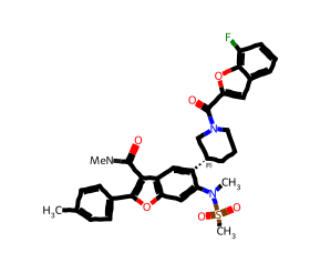 CNC(=O)c1c(-c2ccc(C)cc2)oc2cc(N(C)S(C)(=O)=O)c([C@H]3CCCN(C(=O)c4cc5cccc(F)c5o4)C3)cc12